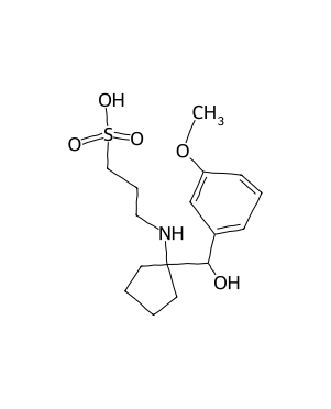 COc1cccc(C(O)C2(NCCCS(=O)(=O)O)CCCC2)c1